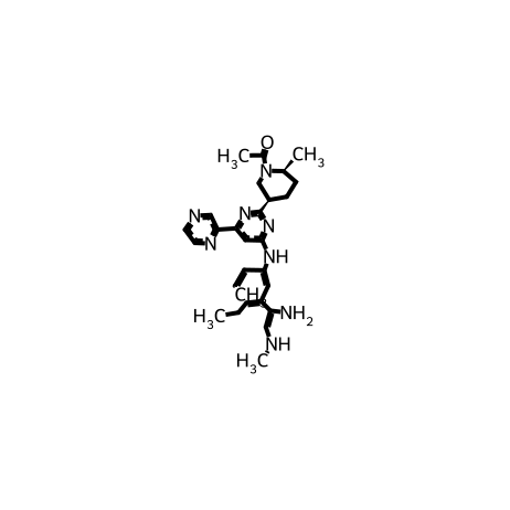 C\C=C/C(=C\C(=C\CC)C(\N)=C\NC)Nc1cc(-c2cnccn2)nc([C@@H]2CC[C@H](C)N(C(C)=O)C2)n1